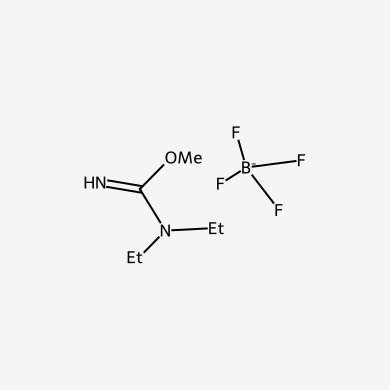 CCN(CC)C(=N)OC.F[B-](F)(F)F